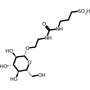 O=C(NCCCS(=O)(=O)O)NCCO[C@@H]1O[C@H](CO)[C@@H](O)[C@H](O)[C@H]1O